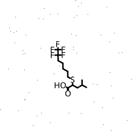 CC(C)CC(SCCCCCC(F)(F)C(F)(F)F)C(=O)O